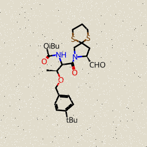 CC(C)COC(=O)NC(C(=O)N1CC2(C[C@H]1C=O)SCCCS2)[C@H](C)OCc1ccc(C(C)(C)C)cc1